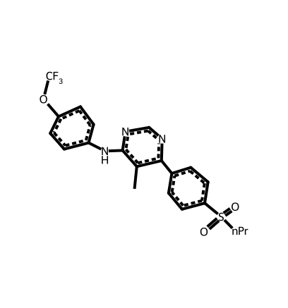 CCCS(=O)(=O)c1ccc(-c2ncnc(Nc3ccc(OC(F)(F)F)cc3)c2C)cc1